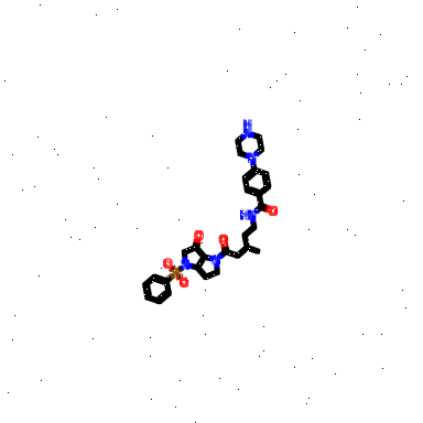 CC(CCNC(=O)c1ccc(N2CCNCC2)cc1)CC(=O)N1CCC2C1C(=O)CN2S(=O)(=O)c1ccccc1